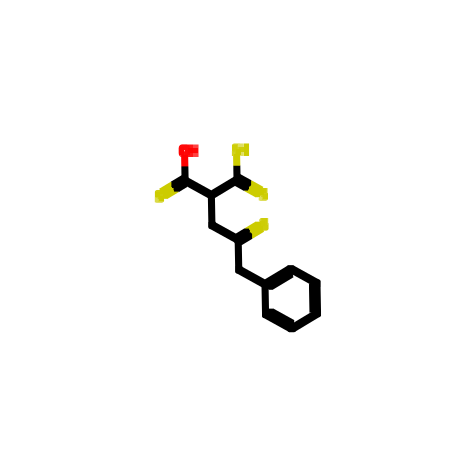 OC(=S)C(CC(=S)Cc1ccccc1)C(=S)S